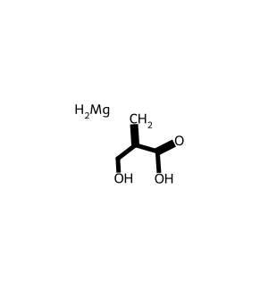 C=C(CO)C(=O)O.[MgH2]